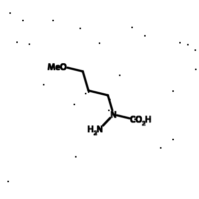 COCCCN(N)C(=O)O